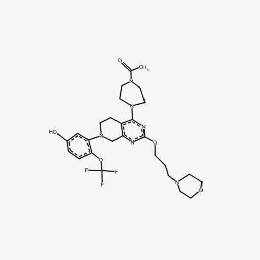 CC(=O)N1CCN(c2nc(OCCCN3CCOCC3)nc3c2CCN(c2cc(O)ccc2OC(F)(F)F)C3)CC1